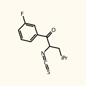 CC(C)CC(N=C=S)C(=O)c1cccc(F)c1